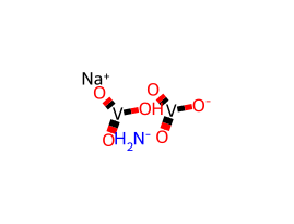 [NH2-].[Na+].[O]=[V](=[O])[O-].[O]=[V](=[O])[OH]